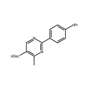 CCCCCCCCCCc1cnc(-c2ccc(CCC)cc2)nc1C